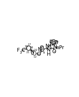 CCCn1c(=O)c2[nH]c(-c3cc(OC4CCN(c5cccc(C(F)(F)F)c5)C4)no3)nc2n(CCC)c1=O